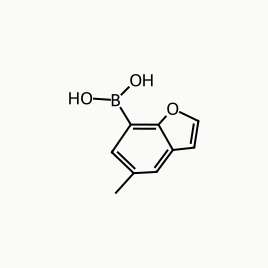 Cc1cc(B(O)O)c2occc2c1